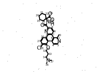 Cc1ncccc1-c1ccc(C(=O)NC2(C(=O)O)CCCCC2)nc1-c1ccc(Cl)c(OCCCN(C)C)c1